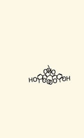 CCOC1Oc2c(c(=O)oc3c(C)c(O)ccc23)C1c1c(O)c2ccc(O)c(C)c2oc1=O